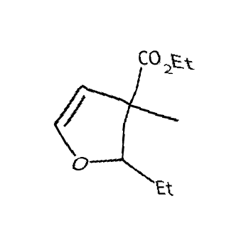 CCOC(=O)C1(C)C=COC1CC